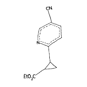 CCOC(=O)C1CC1c1ccc(C#N)cn1